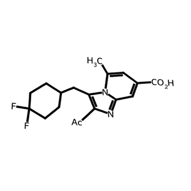 CC(=O)c1nc2cc(C(=O)O)cc(C)n2c1CC1CCC(F)(F)CC1